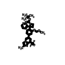 COCOc1cc(-c2cc(C(F)(F)F)c3nc(C)cn3c2)ccc1C1(c2cccnn2)CCN1C(=O)OC(C)(C)C